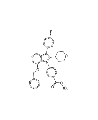 CC(C)(C)OC(=O)c1ccc(-n2c(C3CCOCC3)c(-c3ccc(F)cc3)c3cccc(OCc4ccccc4)c32)cc1